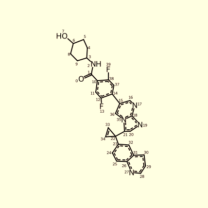 O=C(NC1CCC(O)CC1)c1cc(F)c(-c2cnc3ncc(C4(c5ccc6ncccc6c5)C=C4)n3c2)cc1F